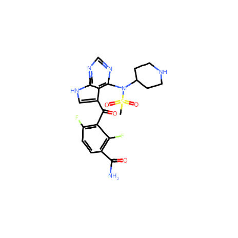 CS(=O)(=O)N(c1ncnc2[nH]cc(C(=O)c3c(F)ccc(C(N)=O)c3F)c12)C1CCNCC1